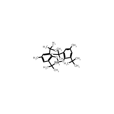 Cc1cc(C(C)(C)C)c([O][AlH][O]c2c(C(C)(C)C)cc(C)cc2C(C)(C)C)c(C(C)(C)C)c1